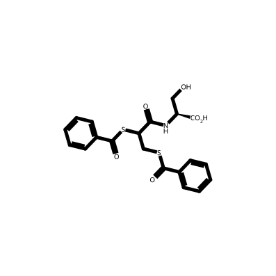 O=C(SCC(SC(=O)c1ccccc1)C(=O)N[C@@H](CO)C(=O)O)c1ccccc1